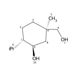 CC(C)[C@@H]1CC[C@@](C)(CO)C[C@H]1O